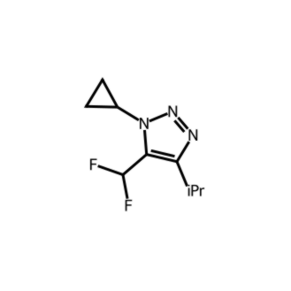 CC(C)c1nnn(C2CC2)c1C(F)F